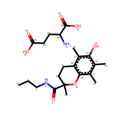 CCCNC(=O)C1(C)CCc2c(C)c(O)c(C)c(C)c2O1.NC(CCC(=O)O)C(=O)O